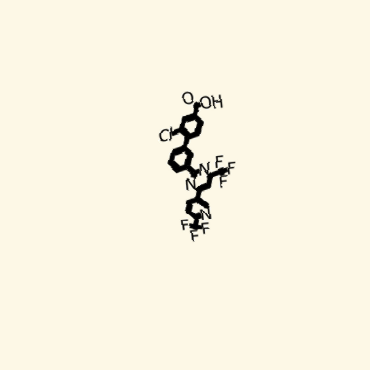 O=C(O)c1ccc(-c2cccc(-c3nc(-c4ccc(C(F)(F)F)nc4)cc(C(F)(F)F)n3)c2)c(Cl)c1